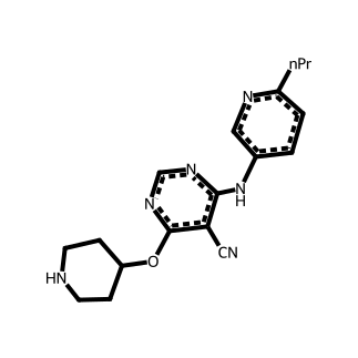 CCCc1ccc(Nc2ncnc(OC3CCNCC3)c2C#N)cn1